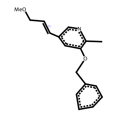 COC/C=C/c1cnc(C)c(OCc2ccccc2)c1